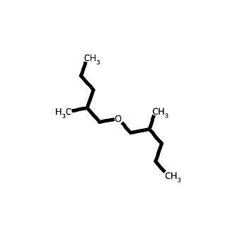 CCCC(C)COCC(C)CCC